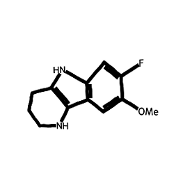 COc1cc2c3c([nH]c2cc1F)CCCN3